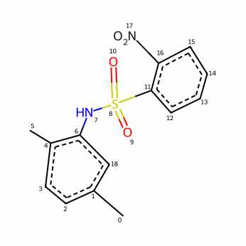 Cc1ccc(C)c(NS(=O)(=O)c2ccccc2[N+](=O)[O-])c1